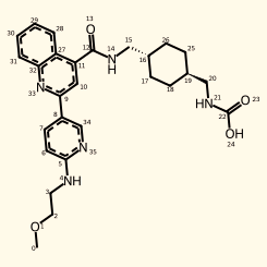 COCCNc1ccc(-c2cc(C(=O)NC[C@H]3CC[C@H](CNC(=O)O)CC3)c3ccccc3n2)cn1